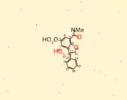 CNC(=O)c1cc(C(=O)O)cc2c1OC[C@@]2(CO)c1ccccc1